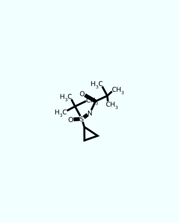 CC(C)(C)C(=O)N=S(=O)(C1CC1)C(C)(C)C